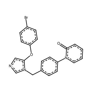 O=c1ccccn1-c1ccc(Cn2cncc2Oc2ccc(Br)cc2)cc1